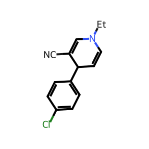 CCN1C=CC(c2ccc(Cl)cc2)C(C#N)=C1